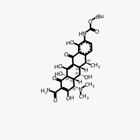 C[C@@H]1c2ccc(NC(=O)OC(C)(C)C)c(O)c2C(=O)C2=C(O)[C@]3(O)C(=O)C(C(N)=O)=C(O)[C@@H](N(C)C)[C@H]3[C@@H](O)[C@H]21